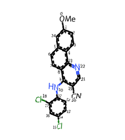 COc1ccc2c(ccc3c(Nc4ccc(Cl)cc4Cl)c(C#N)cnc32)c1